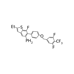 CCc1cc2cc(P)c(-c3ccc(OCc4cc(F)c(C(F)(F)F)c(F)c4)cc3)c(F)c2s1